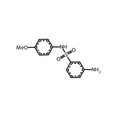 COc1ccc(NS(=O)(=O)c2cccc(N)c2)cc1